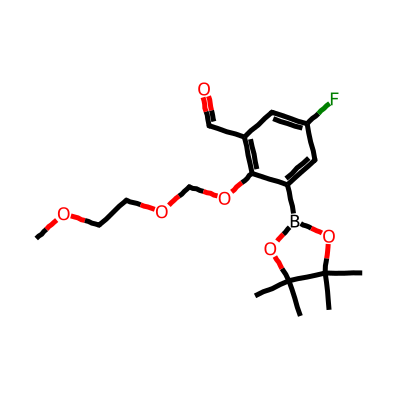 COCCOCOc1c(C=O)cc(F)cc1B1OC(C)(C)C(C)(C)O1